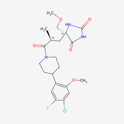 COC[C@]1(C[C@H](C)C(=O)N2CCC(c3cc(F)c(Cl)cc3OC)CC2)NC(=O)NC1=O